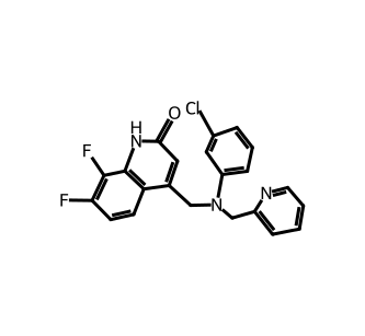 O=c1cc(CN(Cc2ccccn2)c2cccc(Cl)c2)c2ccc(F)c(F)c2[nH]1